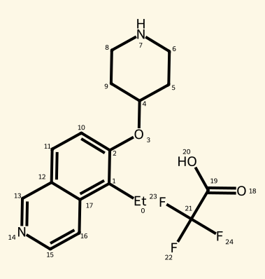 CCc1c(OC2CCNCC2)ccc2cnccc12.O=C(O)C(F)(F)F